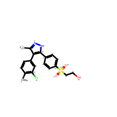 COc1ccc(-c2c(C(F)(F)F)n[nH]c2-c2ccc(S(=O)(=O)CCO)cc2)cc1Cl